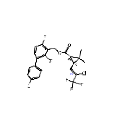 CC1(C)[C@H](C(=O)OCc2c(F)ccc(-c3ccc(Cl)cc3)c2F)[C@@H]1/C=C(\Cl)C(F)(F)F